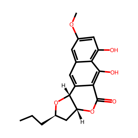 CCC[C@@H]1C[C@H]2OC(=O)c3c(cc4cc(OC)cc(O)c4c3O)[C@H]2O1